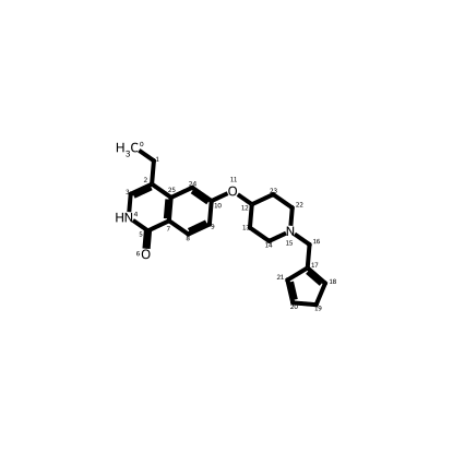 CCc1c[nH]c(=O)c2ccc(OC3CCN(CC4=CCC=C4)CC3)cc12